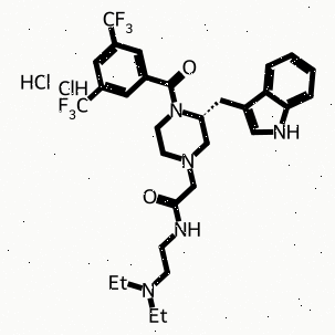 CCN(CC)CCNC(=O)CN1CCN(C(=O)c2cc(C(F)(F)F)cc(C(F)(F)F)c2)[C@H](Cc2c[nH]c3ccccc23)C1.Cl.Cl